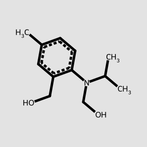 Cc1ccc(N(CO)C(C)C)c(CO)c1